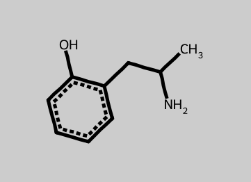 CC(N)Cc1ccccc1O